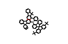 CC(C)(C)c1ccc2c(c1)C1(c3cc(C(C)(C)C)ccc3-2)c2ccccc2-c2c(N(c3ccc4c(c3)C3(CC5CCC3C5)c3ccccc3-4)c3ccccc3-c3cccc4c3C(C)(C)c3ccccc3-4)cccc21